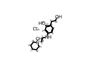 C[N+]1(CCNc2ccc(CCO)c(O)c2)CCCCC1.[Cl-]